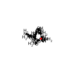 NCCCC(N)CC(=O)NCC1NC(=O)C(CO)NC(=O)C(N)CNC(=O)C(C2CCN=C(N)N2)NC(=O)/C(=C/NC(N)=O)NC1=O.O=S(=O)(O)O